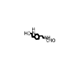 O=CNC=Cc1ccc2cc(O)[nH]c2c1